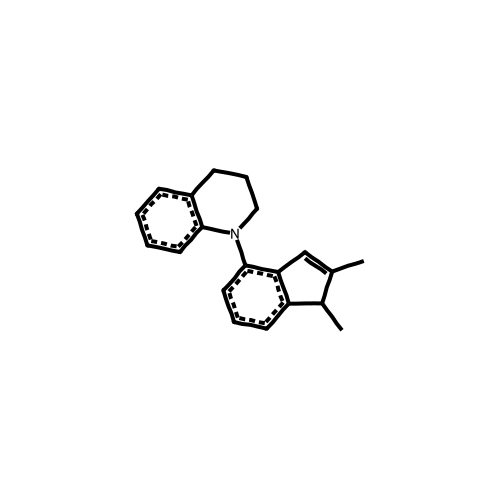 CC1=Cc2c(cccc2N2CCCc3ccccc32)C1C